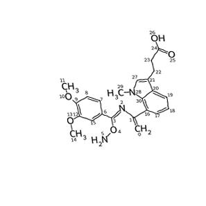 C=C(/N=C(\ON)c1ccc(OC)c(OC)c1)c1cccc2c(CCC(=O)O)cn(C)c12